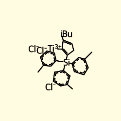 CCC(C)C1=CCC([Si](c2cccc(C)c2)(c2cccc(C)c2)c2cccc(C)c2)=[C]1[Ti+3].[Cl-].[Cl-].[Cl-]